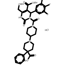 COCC1=C(C(=O)OC)C(c2cc(F)c(F)c(F)c2)N(C(=O)N2CCC(N3CCC(C(=O)OC)(c4ccccc4)CC3)CC2)C(=O)N1.Cl